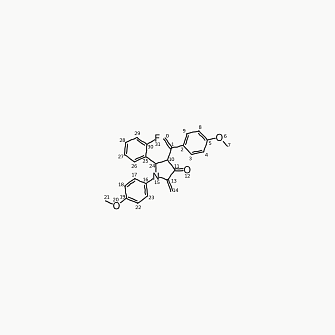 C=C(c1ccc(OC)cc1)C1C(=O)C(=C)N(c2ccc(OC)cc2)C1c1ccccc1F